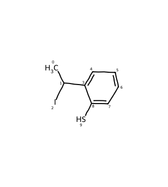 CC(I)c1ccccc1S